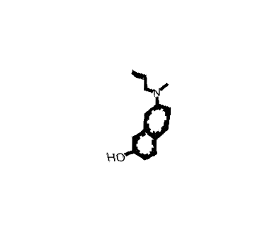 C=CCN(C)c1ccc2ccc(O)cc2c1